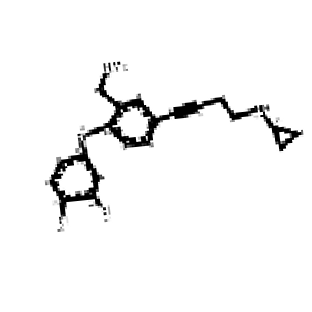 CNCc1cc(C#CCCNC2CC2)ccc1Oc1ccc(Cl)c(Cl)c1